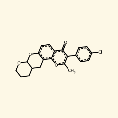 Cc1oc2c3c(ccc2c(=O)c1-c1ccc(Cl)cc1)OC1OCCCC1C3